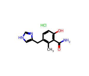 Cc1c(Cc2c[nH]cn2)ccc(O)c1C(N)=O.Cl